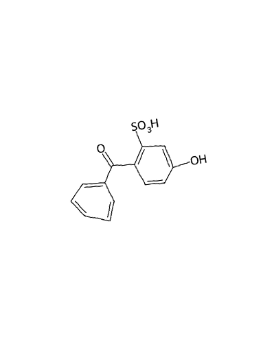 O=C(c1ccccc1)c1ccc(O)cc1S(=O)(=O)O